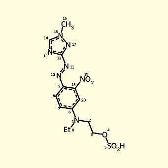 CCN(CCOS(=O)(=O)O)c1ccc(N=Nc2ncn(C)n2)c([N+](=O)[O-])c1